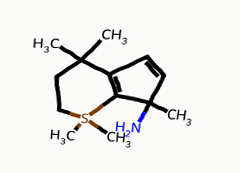 CC1(N)C=CC2=C1S(C)(C)CCC2(C)C